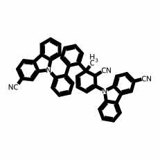 CC1(c2ccccc2-c2ccccc2-n2c3ccccc3c3ccc(C#N)cc32)C=CC=C(n2c3ccccc3c3cc(C#N)ccc32)C1C#N